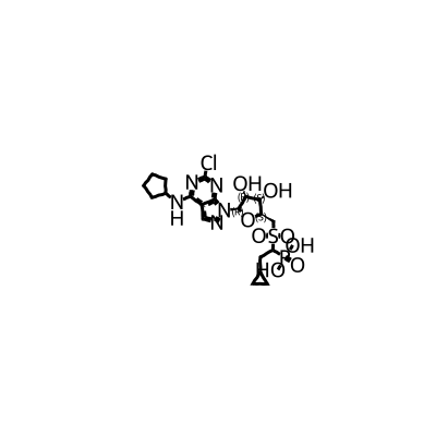 O=P(O)(O)C(CC1CC1)S(=O)(=O)C[C@H]1O[C@@H](n2ncc3c(NC4CCCC4)nc(Cl)nc32)[C@H](O)[C@@H]1O